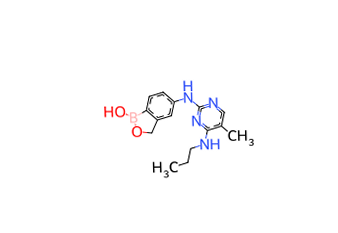 CCCNc1nc(Nc2ccc3c(c2)COB3O)ncc1C